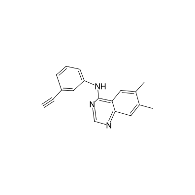 C#Cc1cccc(Nc2ncnc3cc(C)c(C)cc23)c1